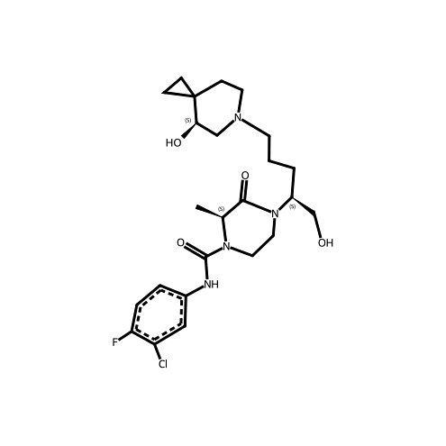 C[C@H]1C(=O)N([C@H](CO)CCCN2CCC3(CC3)[C@H](O)C2)CCN1C(=O)Nc1ccc(F)c(Cl)c1